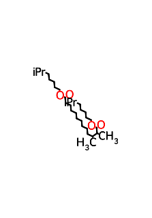 CC(C)CCCCCOC(=O)CCCCCCCCCC(C)C(C)C(=O)OCCCCCC(C)C